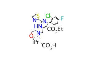 CCOC(=O)C1=C(CN2CCO[C@H](C(C)C)[C@H]2CCC(=O)O)NC(c2nccs2)=N[C@H]1c1ccc(F)cc1Cl